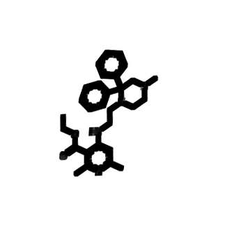 CCOC(=O)c1c(NCCN2CCN(C)CC2(c2ccccc2)c2ccccc2)cc(C)nc1C